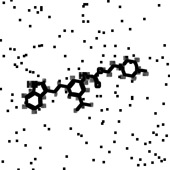 CC(C)c1cc(CCc2c[nH]c3ccccc23)cc(NC(=O)OCCN2CCN(C)CC2)c1